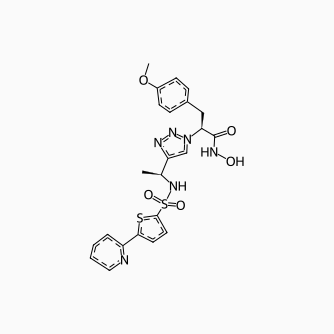 COc1ccc(C[C@@H](C(=O)NO)n2cc([C@H](C)NS(=O)(=O)c3ccc(-c4ccccn4)s3)nn2)cc1